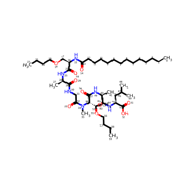 CCCCCCCCCCCCCC(=O)N[C@H](COCCCC)C(=O)N[C@H](C)C(=O)NCC(=O)N(C)[C@H](C(=O)N[C@@H](C)C(=O)N[C@@H](CC(C)C)C(=O)O)C(C)OCCCC